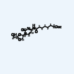 CCCCCCCCCCCCCCCC(=O)Nc1ccn(C2COC(CO)O2)c(=O)n1